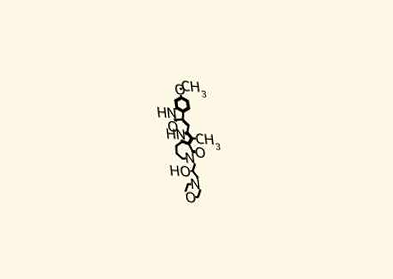 COc1ccc2c(c1)NC(=O)/C2=C\c1[nH]c2c(c1C)C(=O)N(C[C@H](O)CN1CCOCC1)CCC2